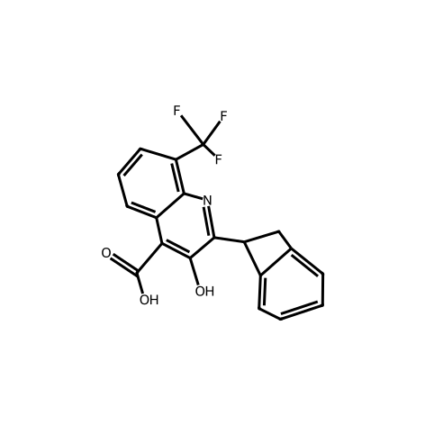 O=C(O)c1c(O)c(C2Cc3ccccc32)nc2c(C(F)(F)F)cccc12